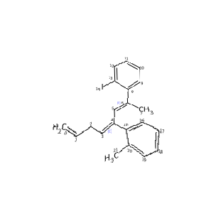 C=CC/C=C(\C=C(/C)c1ccccc1I)c1ccccc1C